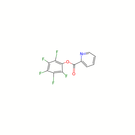 O=C(Oc1c(F)c(F)c(F)c(F)c1F)c1ccccn1